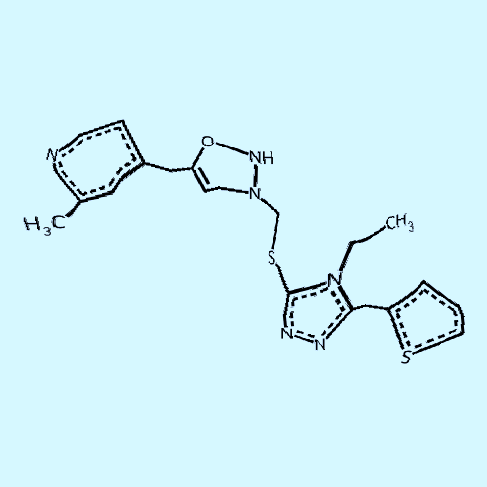 CCn1c(SCN2C=C(c3ccnc(C)c3)ON2)nnc1-c1cccs1